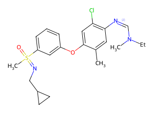 CCN(C)/C=N\c1cc(C)c(Oc2cccc(S(C)(=O)=NCC3CC3)c2)cc1Cl